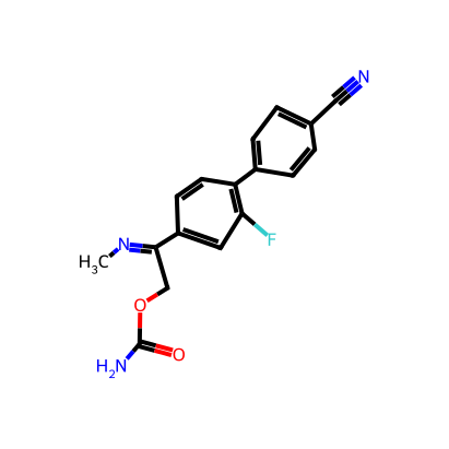 C/N=C(\COC(N)=O)c1ccc(-c2ccc(C#N)cc2)c(F)c1